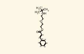 CC(C)(C)NCCOCCOC(=O)/C=C/c1ccccc1